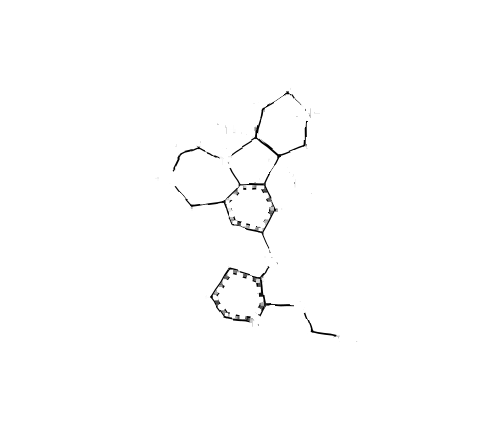 FC(F)(F)COc1ncccc1Nc1cc2c3c(c1)[C@@H]1CNCC[C@@H]1N3CCOC2